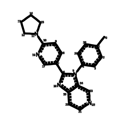 Cc1ccc(-n2c(-c3ccc(N4CCCC4)nc3)nc3ccncc32)cc1